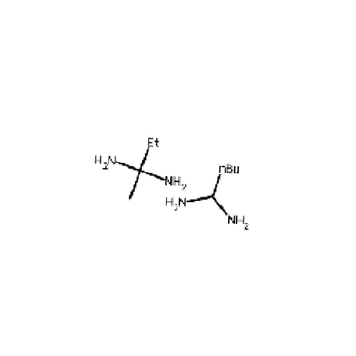 CCC(C)(N)N.CCCCC(N)N